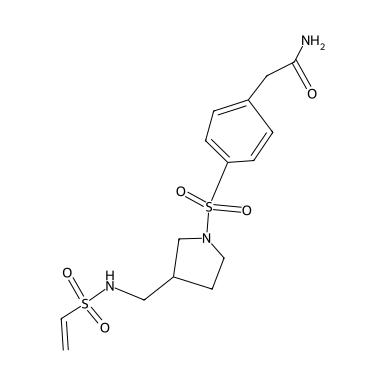 C=CS(=O)(=O)NCC1CCN(S(=O)(=O)c2ccc(CC(N)=O)cc2)C1